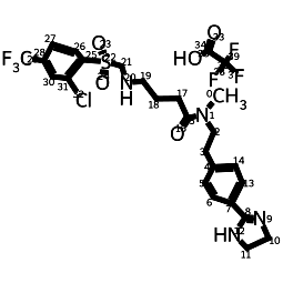 CN(CCc1ccc(C2=NCCN2)cc1)C(=O)CCCNCS(=O)(=O)c1ccc(C(F)(F)F)cc1Cl.O=C(O)C(F)(F)F